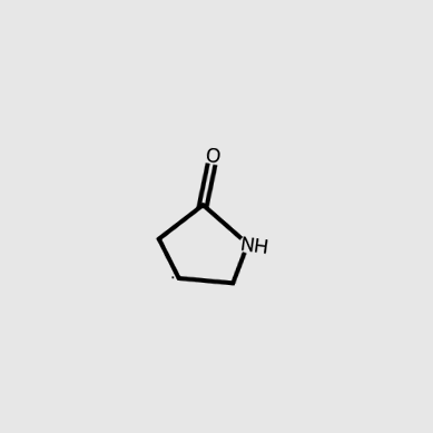 O=C1C[CH]CN1